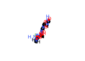 C[C@@H]1CN(C2CCC(=O)NC2=O)c2cccc(N3CCC(N(C)C(=O)N4CCC(Oc5cc(F)cc(N6[C@@H]7CC[C@H]6CN(c6cc(-c8ccccc8O)nnc6N)C7)c5)CC4)CC3)c2O1